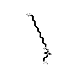 CCCCCCCCCCCCNOS(=O)(=O)CCC